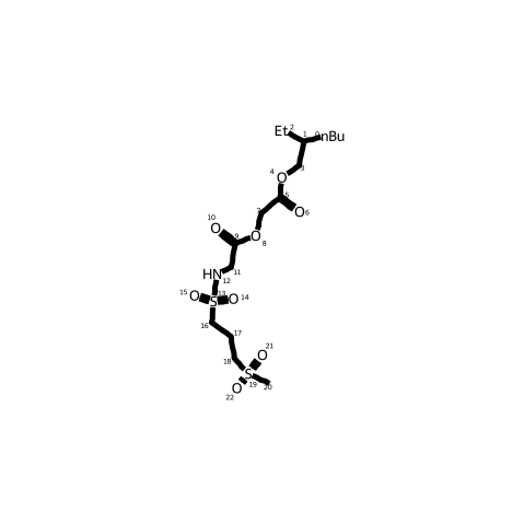 CCCCC(CC)COC(=O)COC(=O)CNS(=O)(=O)CCCS(C)(=O)=O